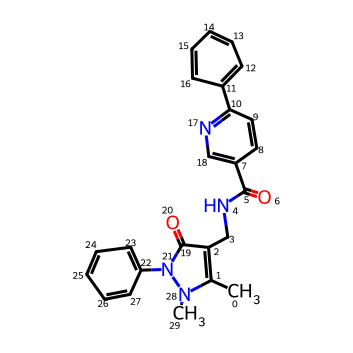 Cc1c(CNC(=O)c2ccc(-c3ccccc3)nc2)c(=O)n(-c2ccccc2)n1C